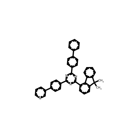 CC1(C)c2ccccc2-c2c(-c3nc(-c4ccc(-c5ccccc5)cc4)nc(-c4ccc(-c5cccnc5)cc4)n3)cccc21